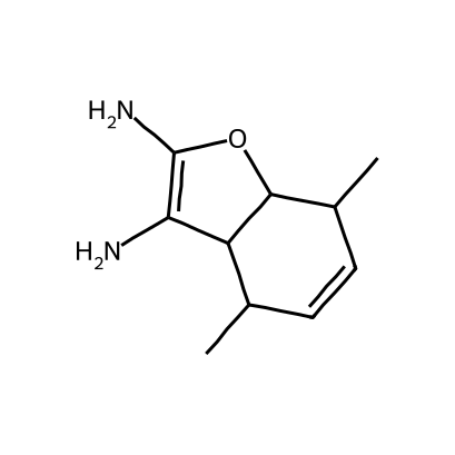 CC1C=CC(C)C2C(N)=C(N)OC12